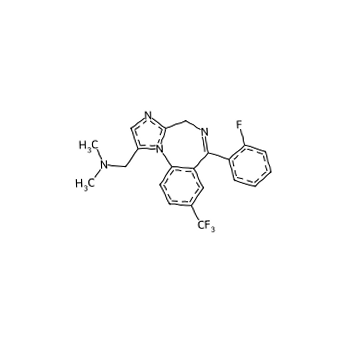 CN(C)Cc1cnc2n1-c1ccc(C(F)(F)F)cc1C(c1ccccc1F)=NC2